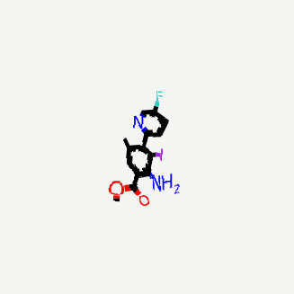 COC(=O)c1cc(C)c(-c2ccc(F)cn2)c(I)c1N